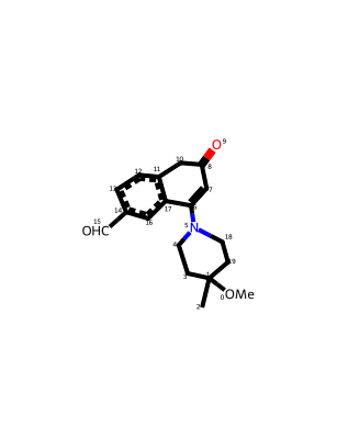 COC1(C)CCN(C2=CC(=O)Cc3ccc(C=O)cc32)CC1